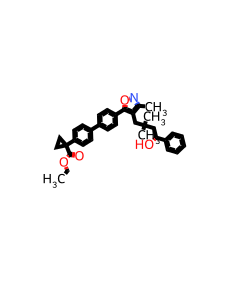 CCOC(=O)C1(c2ccc(-c3ccc(-c4onc(C)c4CC(C)(C)CC(O)c4ccccc4)cc3)cc2)CC1